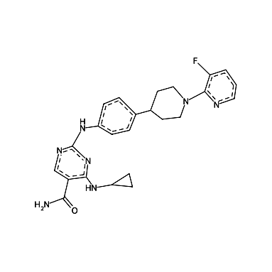 NC(=O)c1cnc(Nc2ccc(C3CCN(c4ncccc4F)CC3)cc2)nc1NC1CC1